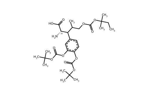 CCC(C)(C)OC(=O)OCC(C)C(c1ccc(OC(=O)OC(C)(C)C)c(OC(=O)OC(C)(C)C)c1)[C@H](N)C(=O)O